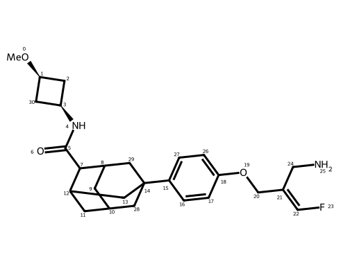 CO[C@H]1C[C@@H](NC(=O)C2C3CC4CC2CC(c2ccc(OC/C(=C/F)CN)cc2)(C4)C3)C1